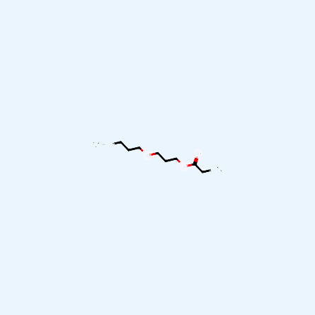 COCCCOCCCOC(=O)CC#N